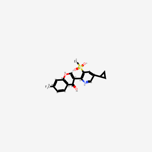 CCS(=O)(=O)c1cc(C2CC2)cnc1-c1coc2cc(C(F)(F)F)ccc2c1=O